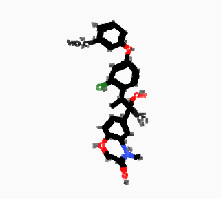 CC(c1ccc(Oc2cccc(C(=O)O)c2)cc1Cl)C(O)(c1ccc2c(c1)N(C)C(=O)CO2)C(F)(F)F